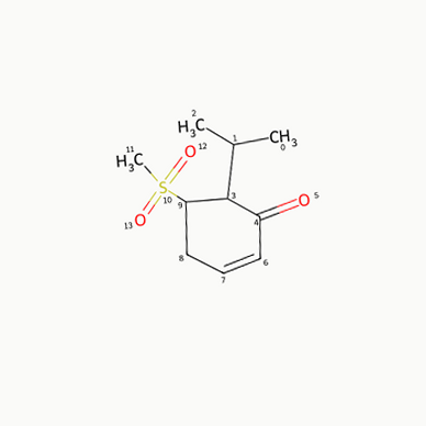 CC(C)C1C(=O)C=CCC1S(C)(=O)=O